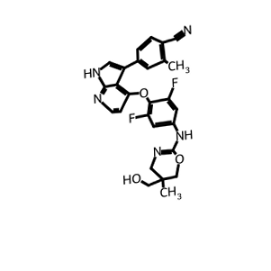 Cc1cc(-c2c[nH]c3nccc(Oc4c(F)cc(NC5=NCC(C)(CO)CO5)cc4F)c23)ccc1C#N